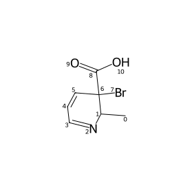 CC1N=CC=CC1(Br)C(=O)O